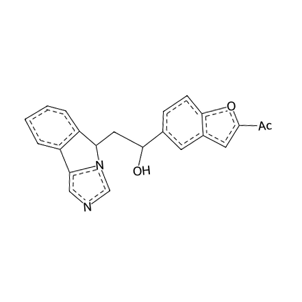 CC(=O)c1cc2cc(C(O)CC3c4ccccc4-c4cncn43)ccc2o1